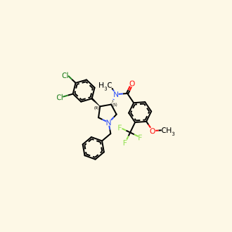 COc1ccc(C(=O)N(C)[C@@H]2CN(Cc3ccccc3)C[C@H]2c2ccc(Cl)c(Cl)c2)cc1C(F)(F)F